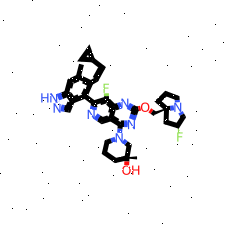 Cc1cc2[nH]ncc2c(-c2ncc3c(N4CCC[C@@](C)(O)C4)nc(OC[C@@]45CCCN4C[C@H](F)C5)nc3c2F)c1/C=C\C1CC1